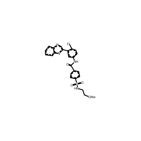 COCCNS(=O)(=O)c1ccc(C(=O)Nc2ccc(Cl)c(-c3cnc4ccccc4n3)c2)cc1